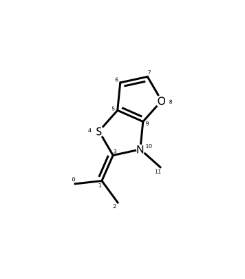 CC(C)=C1Sc2ccoc2N1C